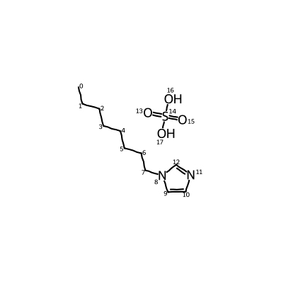 CCCCCCCCn1ccnc1.O=S(=O)(O)O